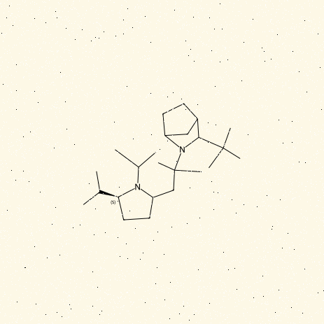 CC(C)[C@@H]1CCC(CC(C)(C)N2C3CCC(C3)C2C(C)(C)C)N1C(C)C